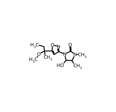 CCC(C)(OC)c1cc(N2C(=O)N(C)C(C)C2O)no1